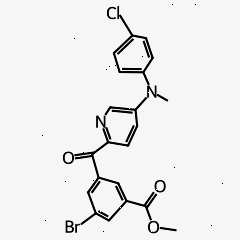 COC(=O)c1cc(Br)cc(C(=O)c2ccc(N(C)c3ccc(Cl)cc3)cn2)c1